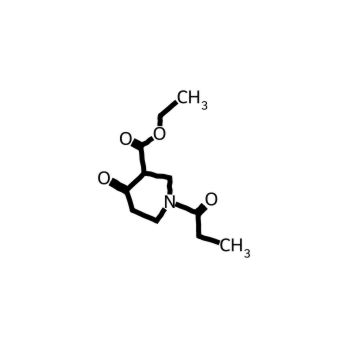 CCOC(=O)C1CN(C(=O)CC)CCC1=O